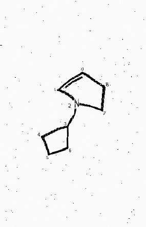 C1=CN(C2CCC2)CC1